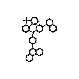 CC1(C)c2ccccc2-c2c(N(c3ccc(-c4cccc5ccccc45)cc3)c3ccc(-c4cc5ccccc5c5ccccc45)cc3)cccc21